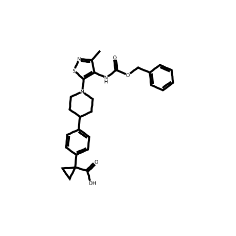 Cc1nsc(N2CCC(c3ccc(C4(C(=O)O)CC4)cc3)CC2)c1NC(=O)OCc1ccccc1